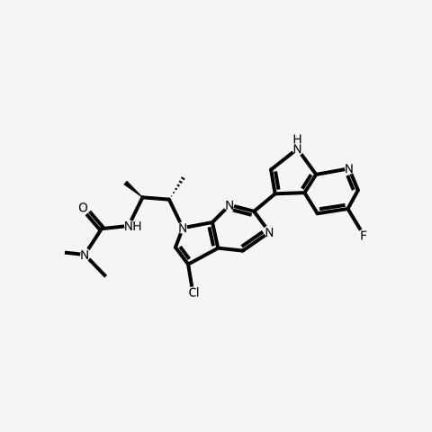 C[C@H](NC(=O)N(C)C)[C@H](C)n1cc(Cl)c2cnc(-c3c[nH]c4ncc(F)cc34)nc21